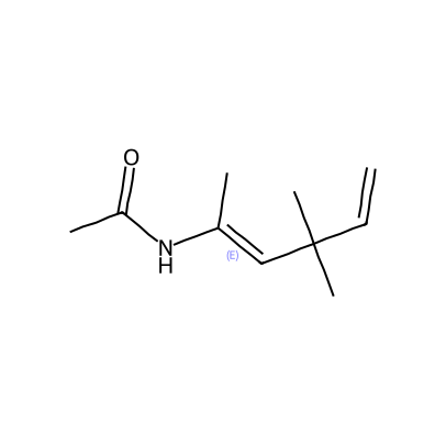 C=CC(C)(C)/C=C(\C)NC(C)=O